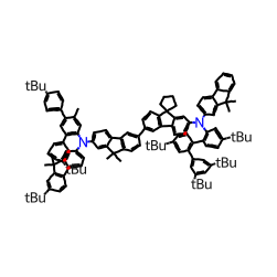 Cc1cc(N(c2ccc3c(c2)C(C)(C)c2ccc(-c4ccc5c(c4)-c4ccc(N(c6ccc7c(c6)C(C)(C)c6ccccc6-7)c6cc(C(C)(C)C)ccc6-c6ccc(C(C)(C)C)cc6-c6cc(C(C)(C)C)cc(C(C)(C)C)c6)cc4C54CCCC4)cc2-3)c2ccc3c(c2)C(C)(C)c2cc(C(C)(C)C)ccc2-3)c(-c2cccc(C(C)(C)C)c2)cc1-c1ccc(C(C)(C)C)cc1